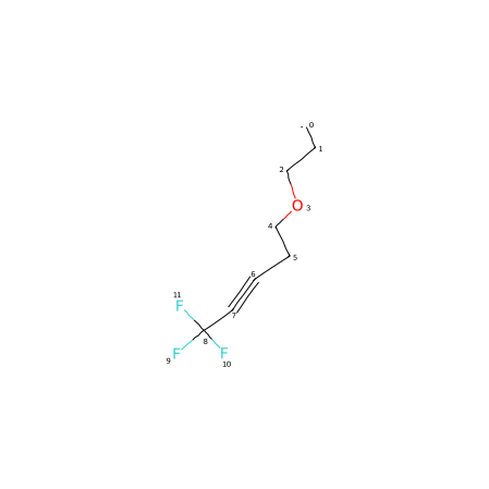 [CH2]CCOCCC#CC(F)(F)F